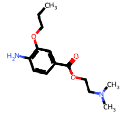 CCCOc1cc(C(=O)OCCN(C)C)ccc1N